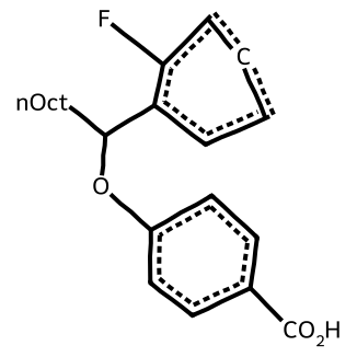 CCCCCCCCC(Oc1ccc(C(=O)O)cc1)c1ccccc1F